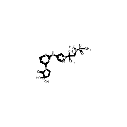 CN(CC(C)(C)n1cc(Nc2nccc(N3CC[C@](O)(C#N)C3=O)n2)cn1)S(N)(=O)=O